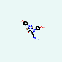 NCCCC[C@@H]([C]=O)N(C(=S)Nc1ccc(O)cc1)C(=S)Nc1ccc(O)cc1